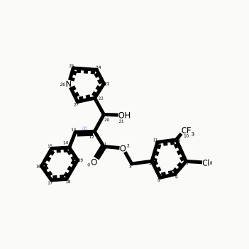 O=C(OCc1ccc(Cl)c(C(F)(F)F)c1)/C(=C\c1ccccc1)C(O)c1cccnc1